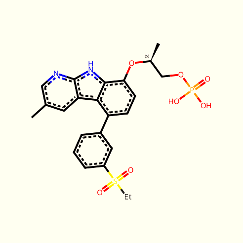 CCS(=O)(=O)c1cccc(-c2ccc(O[C@@H](C)COP(=O)(O)O)c3[nH]c4ncc(C)cc4c23)c1